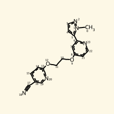 Cn1nccc1-c1cc(OCCOc2ccc(C#N)cn2)ccn1